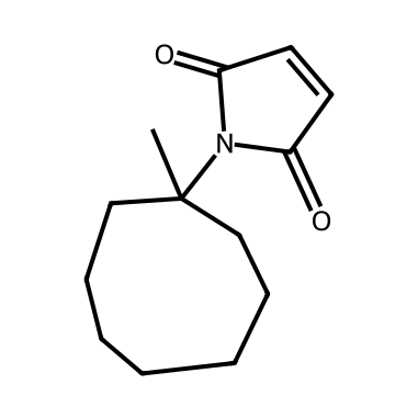 CC1(N2C(=O)C=CC2=O)CCCCCCC1